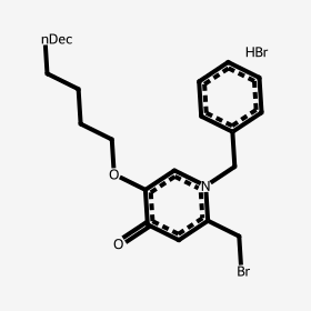 Br.CCCCCCCCCCCCCCOc1cn(Cc2ccccc2)c(CBr)cc1=O